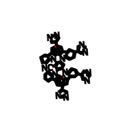 N#Cc1c(-n2c3ccccc3c3ccccc32)c(-n2c3ccc(-c4cncnc4)cc3c3cc(-c4cncnc4)ccc32)cc(-n2c3ccc(-c4cncnc4)cc3c3cc(-c4cncnc4)ccc32)c1-n1c2ccccc2c2ccccc21